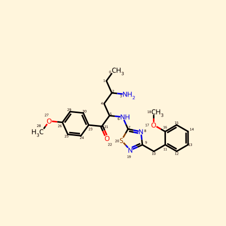 CCC(N)CC(Nc1nc(Cc2ccccc2OC)ns1)C(=O)c1ccc(OC)cc1